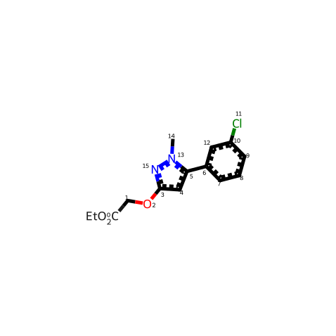 CCOC(=O)COc1cc(-c2cccc(Cl)c2)n(C)n1